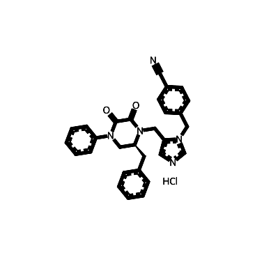 Cl.N#Cc1ccc(Cn2cncc2CN2C(=O)C(=O)N(c3ccccc3)C[C@@H]2Cc2ccccc2)cc1